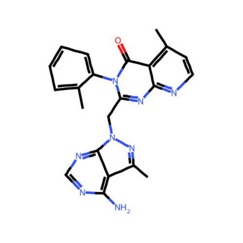 Cc1ccccc1-n1c(Cn2nc(C)c3c(N)ncnc32)nc2nccc(C)c2c1=O